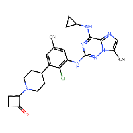 N#Cc1cc(Nc2nc(NC3CC3)c3ncc(C#N)n3n2)c(Cl)c(C2CCN(C3CCC3=O)CC2)c1